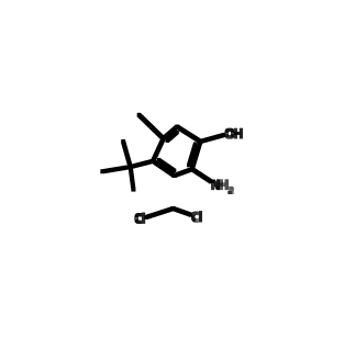 Cc1cc(O)c(N)cc1C(C)(C)C.ClCCl